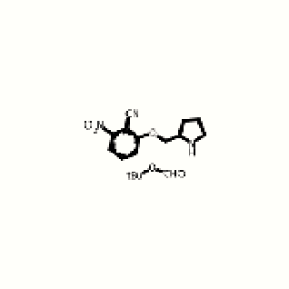 CC(C)(C)OC=O.N#Cc1c(OCC2CCCN2)cccc1[N+](=O)[O-]